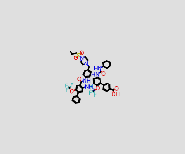 CCCS(=O)(=O)N1CCN(Cc2ccc(NC(=O)c3cc(OC(F)(F)F)c(-c4ccccc4)cc3N)cc2)CC1.O=C(Nc1ccc(OC(F)(F)F)c(-c2ccc(C(=O)O)cc2)c1)NC1CCCCC1